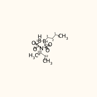 CCCCB1BS(=O)(=O)N(C(C)CC)S1(=O)=O